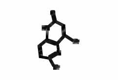 CC(C)c1ccc2[nH]c(=O)cc(C(C)C)c2n1